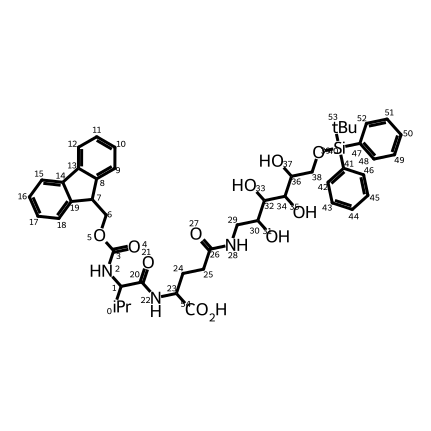 CC(C)C(NC(=O)OCC1c2ccccc2-c2ccccc21)C(=O)NC(CCC(=O)NCC(O)C(O)C(O)C(O)CO[Si](c1ccccc1)(c1ccccc1)C(C)(C)C)C(=O)O